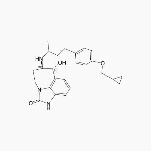 CC(CCc1ccc(OCC2CC2)cc1)N[C@@H]1CCn2c(=O)[nH]c3cccc(c32)[C@H]1O